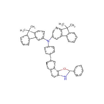 CC1(C)c2ccccc2-c2cc(N(c3ccc(-c4ccc5ccc6c(c5c4)OC(c4ccccc4)N6)cc3)c3ccc4c(c3)-c3ccccc3C4(C)C)ccc21